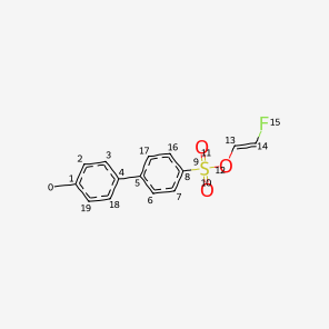 Cc1ccc(-c2ccc(S(=O)(=O)O/C=C/F)cc2)cc1